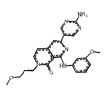 COCCCn1ccc2cc(-c3cnc(N)nc3)nc(Nc3cccc(OC)c3)c2c1=O